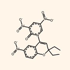 CCC1(CC)C=C(n2cc([N+](=O)[O-])cc([N+](=O)[O-])c2=O)c2cc([N+](=O)[O-])ccc2O1